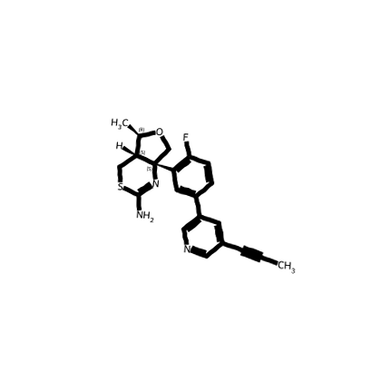 CC#Cc1cncc(-c2ccc(F)c([C@]34CO[C@H](C)[C@H]3CSC(N)=N4)c2)c1